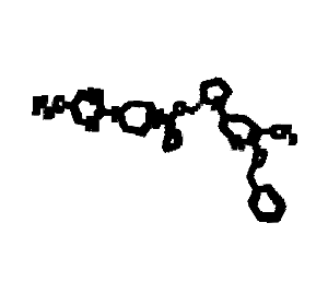 O=C(OC[C@@H]1CCCN1c1cnc(OCc2ccccc2)c(C(F)(F)F)c1)N1CCN(c2ncc(C(F)(F)F)cn2)CC1